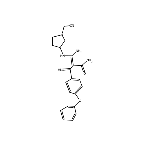 N#CCN1CCC(N/C(N)=C(\C(=N)c2ccc(Oc3ccccc3)cc2)C(N)=O)C1